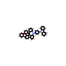 c1ccc(C2(c3cccc4c3oc3ccccc34)c3ccccc3N(c3ccc(-n4c5ccccc5c5ccccc54)cc3)c3ccccc32)cc1